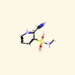 CNS(=O)(=O)c1cccnc1C#N